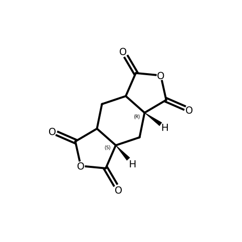 O=C1OC(=O)[C@H]2C[C@H]3C(=O)OC(=O)C3CC12